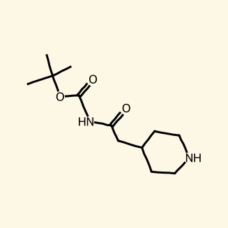 CC(C)(C)OC(=O)NC(=O)CC1CCNCC1